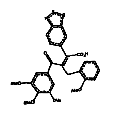 COc1ccccc1C/C(C(=O)c1cc(OC)c(OC)c(OC)c1)=C(\C(=O)O)c1ccc2nsnc2c1